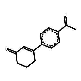 CC(=O)c1ccc(C2=CC(=O)CCC2)cc1